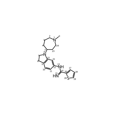 CN1CCCC(N2CCc3ccc(NC(=N)c4cccs4)cc32)CC1